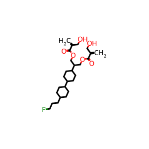 C=C(CO)C(=O)OCC(COC(=O)C(=C)CO)C1CCC(C2CCC(CCCF)CC2)CC1